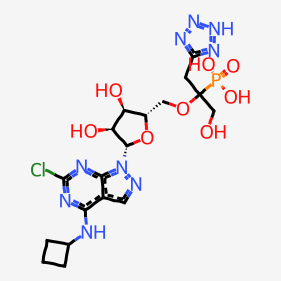 O=P(O)(O)C(CO)(Cc1nn[nH]n1)OC[C@@H]1O[C@H](n2ncc3c(NC4CCC4)nc(Cl)nc32)[C@@H](O)[C@H]1O